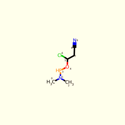 CN(C)POC(Cl)CC#N